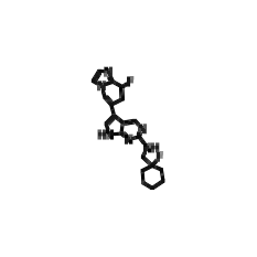 Fc1cc(-c2c[nH]c3nc(NCC4(F)CCCCC4)ncc23)cn2ccnc12